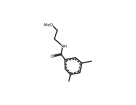 COCCNC(=O)c1cc(C)cc(C)c1